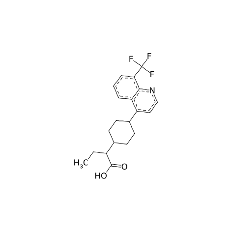 CCC(C(=O)O)C1CCC(c2ccnc3c(C(F)(F)F)cccc23)CC1